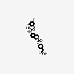 O=C(O)CC1CCC(OC(=O)N2CCc3cc(NC(=O)Nc4c(F)cc(F)cc4F)ccc3C2)CC1